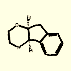 c1ccc2c(c1)C[C@@H]1OCC[N][C@H]21